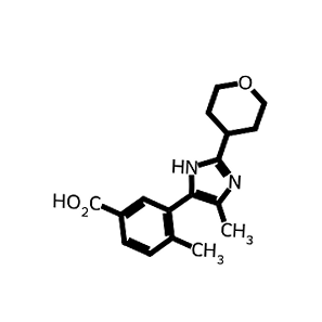 Cc1ccc(C(=O)O)cc1-c1[nH]c(C2CCOCC2)nc1C